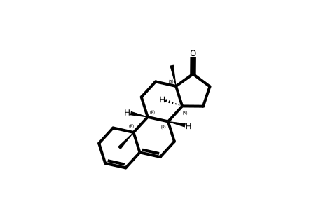 C[C@]12CCC=CC1=CC[C@@H]1[C@H]2CC[C@]2(C)C(=O)CC[C@@H]12